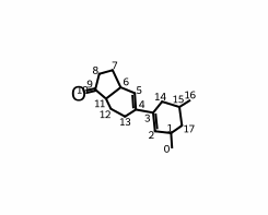 CC1C=C(C2=CC3CCC(=O)C3CC2)CC(C)C1